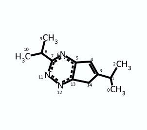 CC(C)C1=Cc2nc(C(C)C)nnc2C1